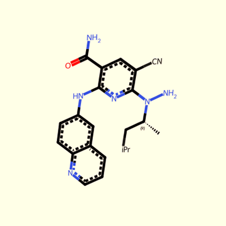 CC(C)C[C@@H](C)N(N)c1nc(Nc2ccc3ncccc3c2)c(C(N)=O)cc1C#N